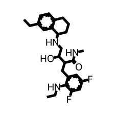 CCNc1c(F)cc(F)cc1CC(C(=O)NC)C(O)CNC1CCCc2ccc(CC)cc21